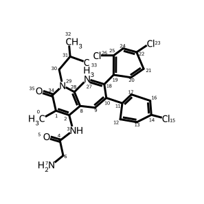 Cc1c(NC(=O)CN)c2cc(-c3ccc(Cl)cc3)c(-c3ccc(Cl)cc3Cl)nc2n(CC(C)C)c1=O